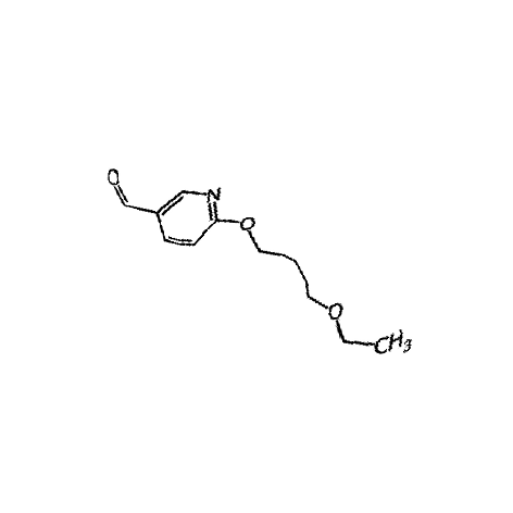 CCOCCCOc1ccc(C=O)cn1